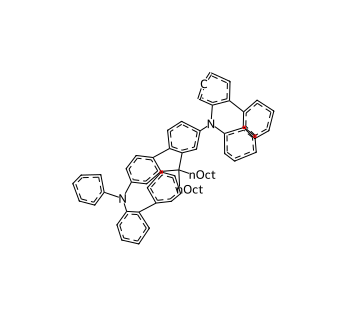 CCCCCCCCC1(CCCCCCCC)c2cc(N(c3ccccc3)c3ccccc3-c3ccccc3)ccc2-c2ccc(N(c3ccccc3)c3ccccc3-c3ccccc3)cc21